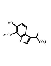 COc1c(O)ccc2c(C(C)C(=O)O)coc12